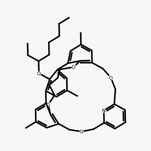 CCCCCC(CC)Oc1c2cc(C)cc1-c1cc(C)cc3c1OCCCCOc1c(cc(C)cc1-2)COCc1cccc(n1)COC3